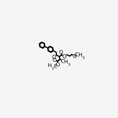 COCCCOC(=O)C(C(=O)Cc1ccc(-c2ccccc2)cc1)[C@@H](C)C(=O)OC